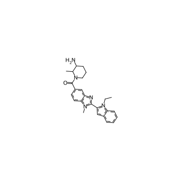 CCn1c(-c2nc3cc(C(=O)N4CCCC(N)C4C)ccc3n2C)cc2ccccc21